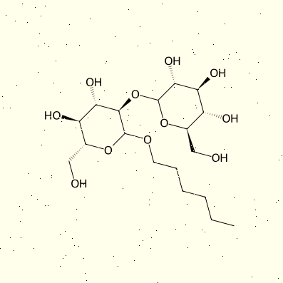 CCCCCCOC1O[C@H](CO)[C@@H](O)[C@H](O)[C@H]1OC1O[C@H](CO)[C@@H](O)[C@H](O)[C@H]1O